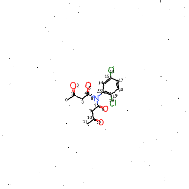 CC(=O)CC(=O)N(C(=O)CC(C)=O)c1cc(Cl)ccc1Cl